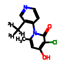 [2H]C([2H])([2H])c1cnccc1-n1c(C)cc(O)c(Cl)c1=O